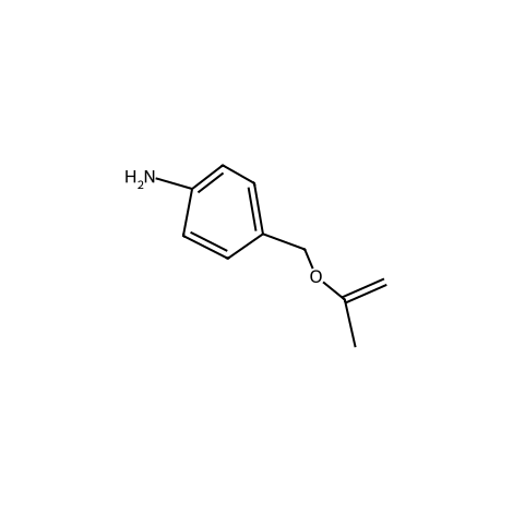 C=C(C)OCc1ccc(N)cc1